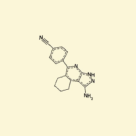 N#Cc1ccc(-c2nc3[nH]nc(N)c3c3c2CCCC3)cc1